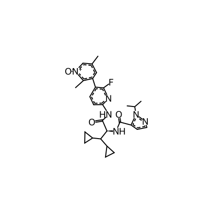 Cc1cc(-c2ccc(NC(=O)[C@@H](NC(=O)c3ccnn3C(C)C)C(C3CC3)C3CC3)nc2F)c(C)[n+]([O-])c1